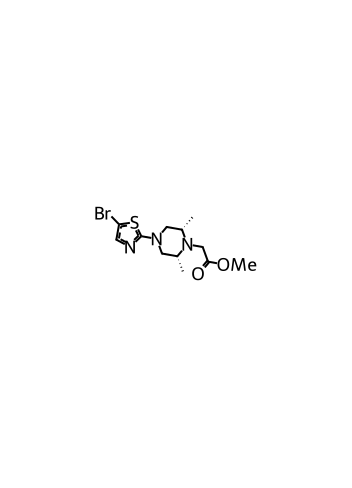 COC(=O)CN1[C@H](C)CN(c2ncc(Br)s2)C[C@@H]1C